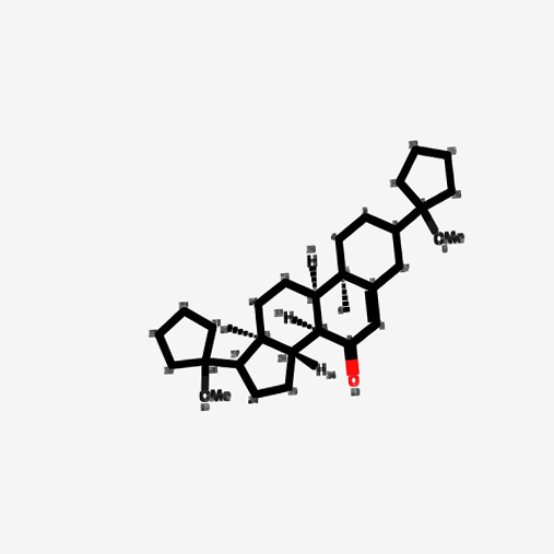 COC1(C2CC[C@@]3(C)C(=CC(=O)[C@@H]4[C@H]3CC[C@]3(C)C(C5(OC)CCCC5)CC[C@@H]43)C2)CCCC1